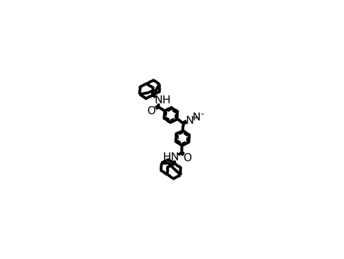 [N-]=[N+]=C(c1ccc(C(=O)NC23CC4CC(CC(C4)C2)C3)cc1)c1ccc(C(=O)NC23CC4CC(CC(C4)C2)C3)cc1